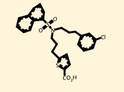 O=C(O)c1ccc(CCCN(CCCc2cccc(Cl)c2)S(=O)(=O)c2cccc3ccccc23)s1